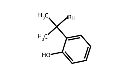 CCC(C)C(C)(C)c1ccccc1O